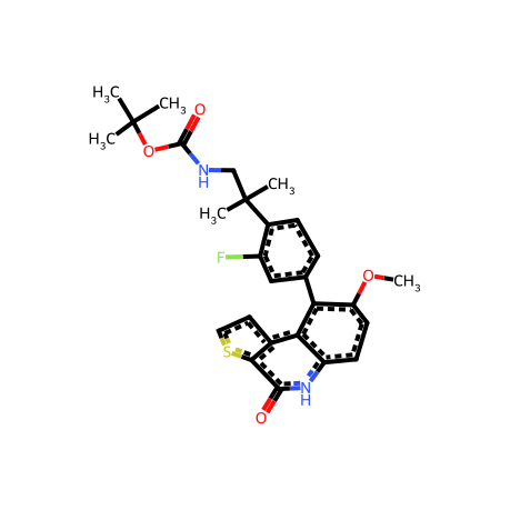 COc1ccc2[nH]c(=O)c3sccc3c2c1-c1ccc(C(C)(C)CNC(=O)OC(C)(C)C)c(F)c1